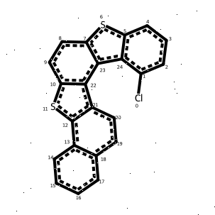 Clc1cccc2sc3ccc4sc5c6ccccc6ccc5c4c3c12